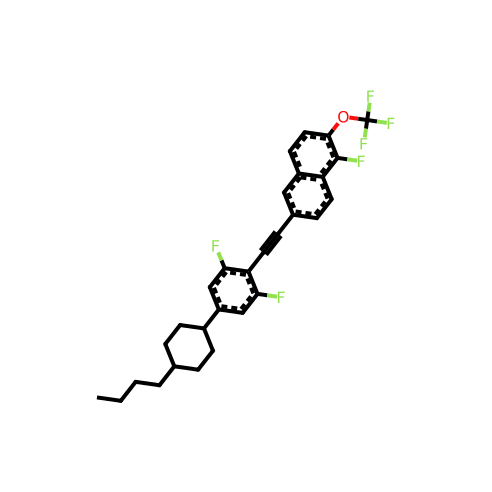 CCCCC1CCC(c2cc(F)c(C#Cc3ccc4c(F)c(OC(F)(F)F)ccc4c3)c(F)c2)CC1